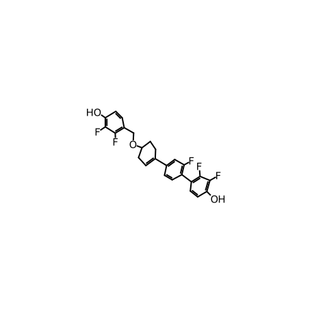 Oc1ccc(COC2CC=C(c3ccc(-c4ccc(O)c(F)c4F)c(F)c3)CC2)c(F)c1F